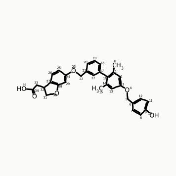 Cc1cc(OCc2ccc(O)cc2)cc(C)c1-c1cccc(COc2ccc3c(c2)OCC3CC(=O)O)c1